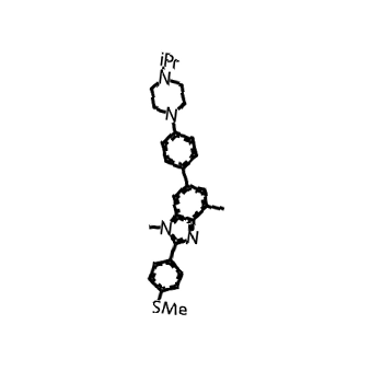 CSc1ccc(-c2nc3c(C)cc(-c4ccc(N5CCN(C(C)C)CC5)cc4)cc3n2C)cc1